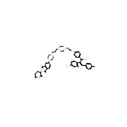 O=C1CCC(N2C(=O)c3ccc(N4CCN(CCCN5CCN(CCOc6ccc(C(=O)c7c(-c8ccc(F)cc8)sc8cc(O)ccc78)cc6)CC5)CC4)cc3C2=O)C(=O)N1